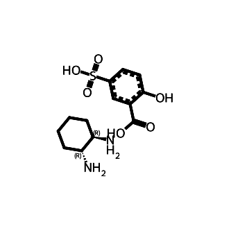 N[C@@H]1CCCC[C@H]1N.O=C(O)c1cc(S(=O)(=O)O)ccc1O